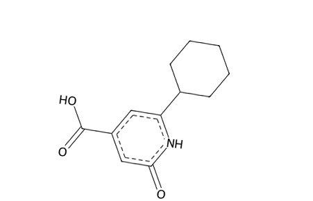 O=C(O)c1cc(C2CCCCC2)[nH]c(=O)c1